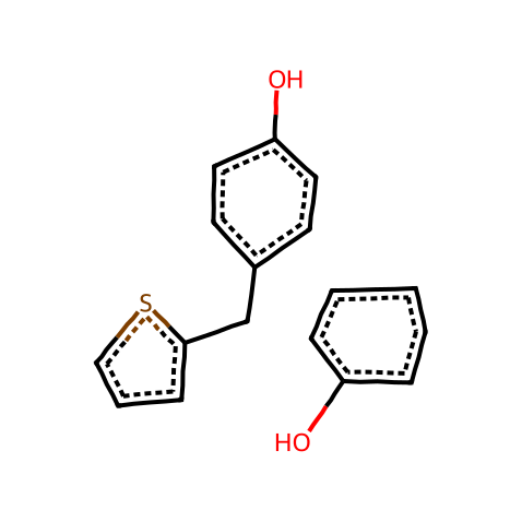 Oc1ccc(Cc2cccs2)cc1.Oc1ccccc1